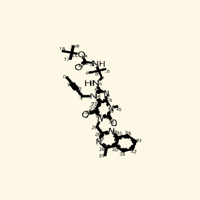 CC#CCn1c(NCC(C)(C)NC(=O)OC(C)(C)C)nc2c1c(=O)n(Cc1nc(C)c3ccccc3n1)c(=O)n2C